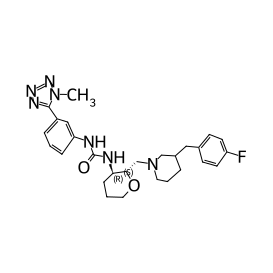 Cn1nnnc1-c1cccc(NC(=O)N[C@@H]2CCCO[C@H]2CN2CCCC(Cc3ccc(F)cc3)C2)c1